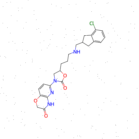 O=C1COc2ccc(N3CC(CCCNCC4Cc5cccc(Cl)c5C4)OC3=O)nc2N1